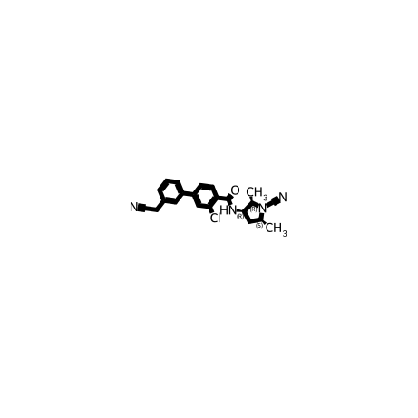 C[C@@H]1[C@H](NC(=O)c2ccc(-c3cccc(CC#N)c3)cc2Cl)C[C@H](C)N1C#N